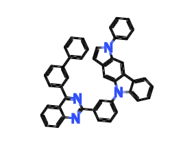 c1ccc(-c2cccc(-c3nc(-c4cccc(-n5c6ccccc6c6cc7c(ccn7-c7ccccc7)cc65)c4)nc4ccccc34)c2)cc1